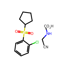 N#CCNC(=O)O.O=S(=O)(c1ccccc1Cl)C1CCCC1